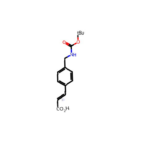 CC(C)(C)OC(=O)NCc1ccc(/C=C/C(=O)O)cc1